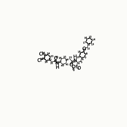 COC(=O)[C@H](Cc1ccc(OCc2ccccc2)cc1)NC(=O)C[C@H]1CC[C@H](NC(=O)Cc2ccc(Cl)c(Cl)c2)CC1